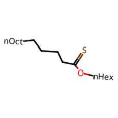 CCCCCCCCCCCCC(=S)OCCCCCC